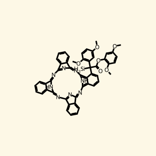 COc1ccc(OC)c(OC(=O)C([SiH3])(c2cc(OC)ccc2OC)c2cccc3c4nc5nc(nc6[nH]c(nc7nc(nc([nH]4)c23)-c2ccccc2-7)c2ccccc62)-c2ccccc2-5)c1